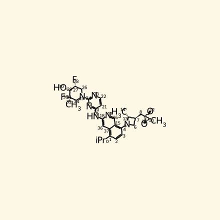 CC(C)c1ccc(N2C[C@H](CS(C)(=O)=O)[C@H]2C)c2cnc(Nc3ccnc(N4C[C@@H](F)[C@@H](O)[C@](C)(F)C4)n3)cc12